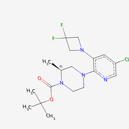 C[C@H]1CN(c2ncc(Cl)cc2N2CC(F)(F)C2)CCN1C(=O)OC(C)(C)C